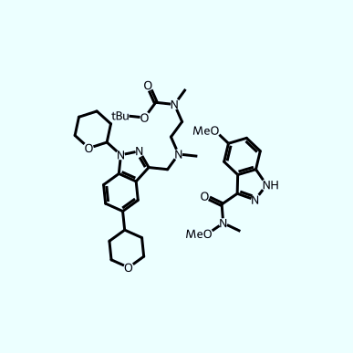 CN(CCN(C)C(=O)OC(C)(C)C)Cc1nn(C2CCCCO2)c2ccc(C3CCOCC3)cc12.COc1ccc2[nH]nc(C(=O)N(C)OC)c2c1